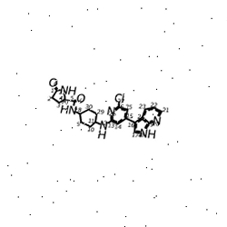 O=C1CC[C@H](C(=O)NC2CCC(Nc3cc(-c4c[nH]c5ncccc45)cc(Cl)n3)CC2)N1